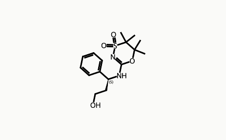 CC1(C)OC(N[C@@H](CCO)c2ccccc2)=NS(=O)(=O)C1(C)C